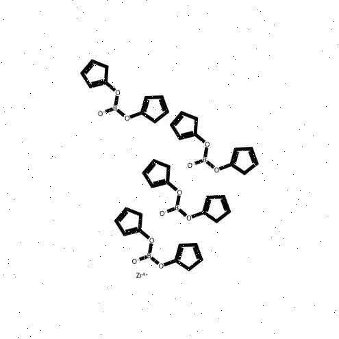 [O-]B(OC1=CC=CC1)OC1=CC=CC1.[O-]B(OC1=CC=CC1)OC1=CC=CC1.[O-]B(OC1=CC=CC1)OC1=CC=CC1.[O-]B(OC1=CC=CC1)OC1=CC=CC1.[Zr+4]